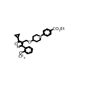 CCOC(=O)c1ccc(N2CCC(OCc3c(-c4ccccc4OC(F)(F)F)noc3C3CC3)CC2)cc1